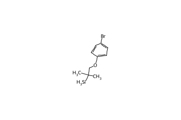 CC(C)([SiH3])COc1ccc(Br)cc1